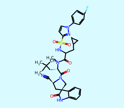 CN(C(=O)C(CC1CC1)NS(=O)(=O)c1ccn(-c2ccc(F)cc2)n1)[C@@H](CC(C)(C)C)C(=O)N1C[C@]2(C[C@H]1C#N)C(=O)Nc1ccccc12